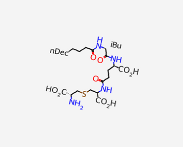 CCCCCCCCCCCCCC(=O)N[C@H](C(=O)N[C@H](CCC(=O)N[C@H](CSC[C@H](N)C(=O)O)C(=O)O)C(=O)O)[C@H](C)CC